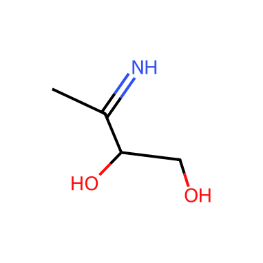 CC(=N)C(O)CO